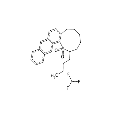 CCCCC1CCCCCc2ccc3cc4ccccc4cc3c2S1(=O)=O.FC(F)F